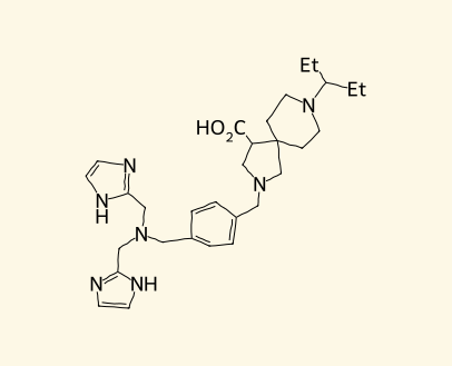 CCC(CC)N1CCC2(CC1)CN(Cc1ccc(CN(Cc3ncc[nH]3)Cc3ncc[nH]3)cc1)CC2C(=O)O